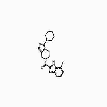 O=C(c1nc2cccc(Cl)c2[nH]1)N1CCn2c(cnc2C2CCCCC2)C1